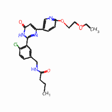 CCCC(=O)NCc1ccc(Cl)c(-c2nc(-c3ccc(OCCOCC)nc3)cc(=O)[nH]2)c1